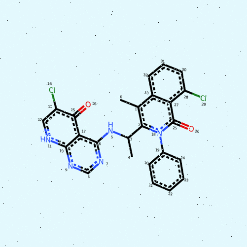 Cc1c(C(C)Nc2ncnc3[nH]cc(Cl)c(=O)c23)n(-c2ccccc2)c(=O)c2c(Cl)cccc12